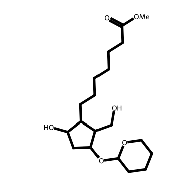 COC(=O)CCCCCCC1C(O)CC(OC2CCCCO2)C1CO